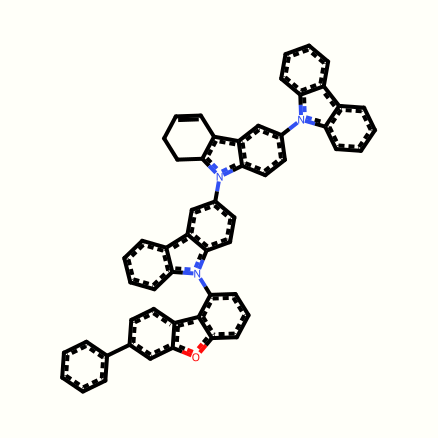 C1=Cc2c(n(-c3ccc4c(c3)c3ccccc3n4-c3cccc4oc5cc(-c6ccccc6)ccc5c34)c3ccc(-n4c5ccccc5c5ccccc54)cc23)CC1